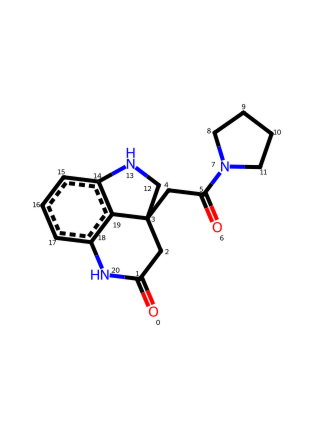 O=C1CC2(CC(=O)N3CCCC3)CNc3cccc(c32)N1